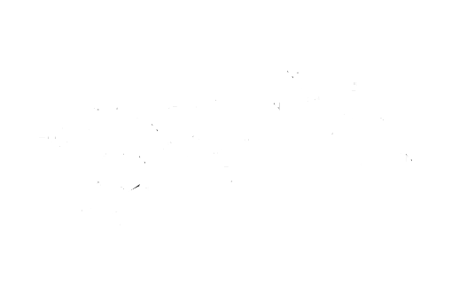 N#Cc1ccc(COc2nccc(-c3cc(F)c(Cc4nc5ccc(C(=O)O)cc5n4C[C@@H]4CCO4)c(F)c3)n2)c(F)c1